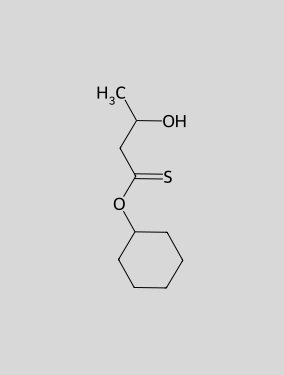 CC(O)CC(=S)OC1CCCCC1